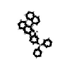 c1ccc(N(c2ccccc2)c2ccc3c(c2)oc2c(-c4cccc5ccccc45)c4ccccc4cc23)cc1